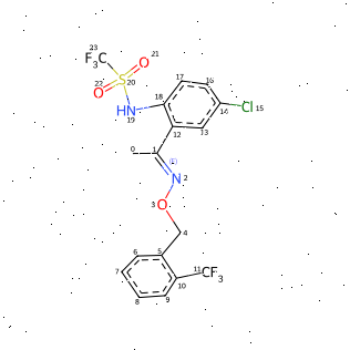 C/C(=N\OCc1ccccc1C(F)(F)F)c1cc(Cl)ccc1NS(=O)(=O)C(F)(F)F